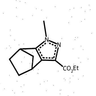 CCOC(=O)c1nn(C)c2c1C1CCC2C1